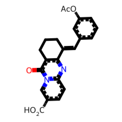 CC(=O)Oc1cccc(/C=C2\CCCc3c2nc2ccc(C(=O)O)cn2c3=O)c1